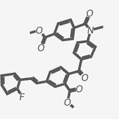 COC(=O)c1ccc(C(=O)N(C)c2ccc(C(=O)c3ccc(C=Cc4ccccc4F)cc3C(=O)OC)cc2)cc1